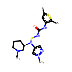 CCc1cc(NC(=O)NSN(c2cnn(C)c2)[C@@H]2CCCN(C)C2)c(C(C)C)s1